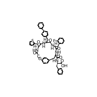 O=C1COc2ccc(cc2)C[C@@H](C(=O)N[C@H](Cc2ccccc2)C(=O)O)NC(=O)[C@H](Cc2ccccc2F)NC(=O)[C@@H](Cc2ccc(-c3ccccc3)cc2)NC(=O)[C@H](Cc2cccs2)N1